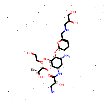 CC[C@@H](O)[C@H](OCCO)O[C@@H]1[C@@H](O)[C@H](O[C@@H]2CCC=C(CNCC(O)CO)O2)[C@@H](N)C[C@H]1NC(=O)[C@H](O)CN